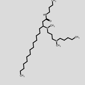 CCCCCCCCCCCCCCC(CC(=O)NCCCC)N(C)CCCN(C)CCCCC